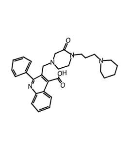 O=C(O)c1c(CN2CCN(CCCN3CCCCC3)C(=O)C2)c(-c2ccccc2)nc2ccccc12